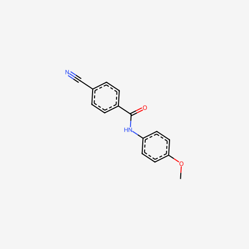 COc1ccc(NC(=O)c2ccc(C#N)cc2)cc1